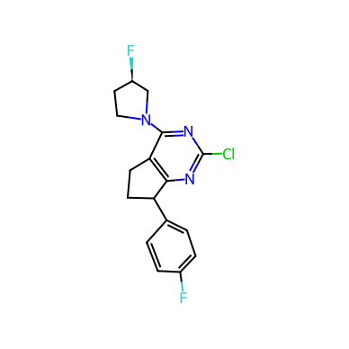 Fc1ccc(C2CCc3c2nc(Cl)nc3N2CC[C@@H](F)C2)cc1